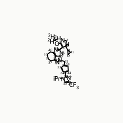 [2H]C([2H])([2H])Oc1ncnc(C2CC2)c1-c1nc2c3c(nn(Cc4ccc(-c5nc(C(F)(F)F)cn5C(C)C)cc4)c3n1)CCCC2